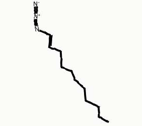 CCCCCCCCC/C=C/N=[N+]=[N-]